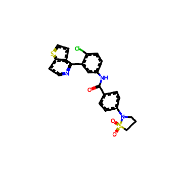 O=C(Nc1ccc(Cl)c(-c2nccc3sccc23)c1)c1ccc(N2CCCS2(=O)=O)cc1